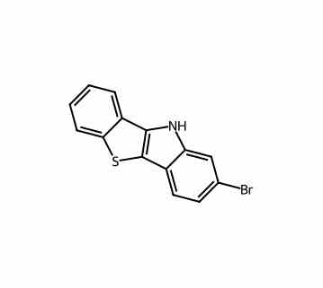 Brc1ccc2c(c1)[nH]c1c3ccccc3sc21